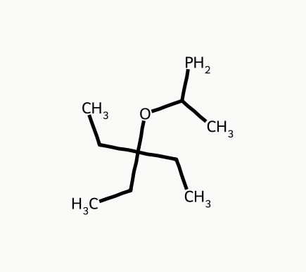 CCC(CC)(CC)OC(C)P